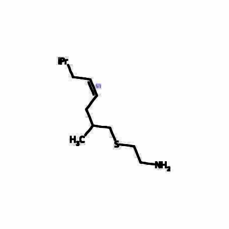 CC(C)C/C=C\CC(C)CSCCN